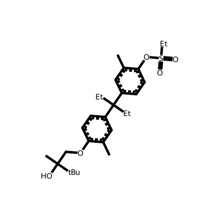 CCC(CC)(c1ccc(OCC(C)(O)C(C)(C)C)c(C)c1)c1ccc(OS(=O)(=O)CC)c(C)c1